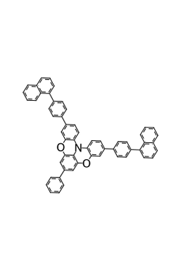 c1ccc(-c2cc3c4c(c2)Oc2cc(-c5ccc(-c6cccc7ccccc67)cc5)ccc2N4c2ccc(-c4ccc(-c5cccc6ccccc56)cc4)cc2O3)cc1